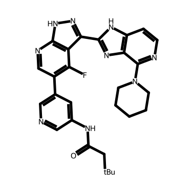 CC(C)(C)CC(=O)Nc1cncc(-c2cnc3[nH]nc(-c4nc5c(N6CCCCC6)nccc5[nH]4)c3c2F)c1